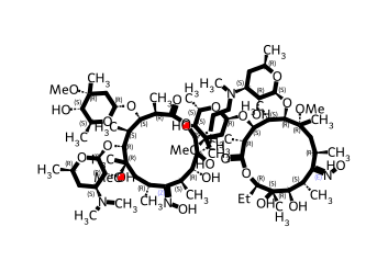 CC[C@H]1OC(=O)[C@H](C)[C@@H](O[C@H]2C[C@@](C)(OC)[C@@H](O)[C@H](C)O2)[C@H](C)[C@@H](O[C@@H]2O[C@H](C)C[C@H](N(C)CCC[C@H]3OC(=O)[C@H](C)[C@@H](O[C@H]4C[C@@](C)(OC)[C@@H](O)[C@H](C)O4)[C@H](C)[C@@H](O[C@@H]4O[C@H](C)C[C@H](N(C)C)[C@H]4O)[C@](C)(OC)C[C@@H](C)/C(=N/O)[C@H](C)[C@@H](O)[C@]3(C)O)[C@H]2O)[C@](C)(OC)C[C@@H](C)/C(=N\O)[C@H](C)[C@@H](O)[C@]1(C)O